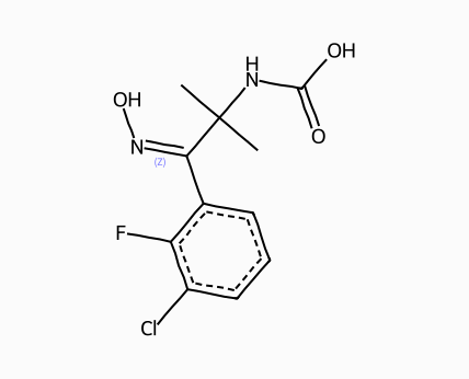 CC(C)(NC(=O)O)/C(=N\O)c1cccc(Cl)c1F